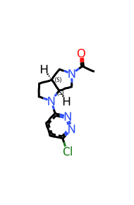 CC(=O)N1C[C@@H]2CCN(c3ccc(Cl)nn3)[C@@H]2C1